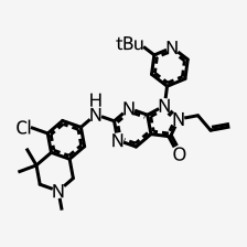 C=CCn1c(=O)c2cnc(Nc3cc(Cl)c4c(c3)CN(C)CC4(C)C)nc2n1-c1ccnc(C(C)(C)C)c1